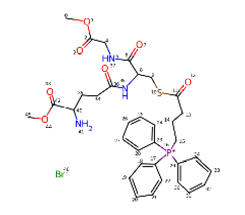 COC(=O)CNC(=O)C(CSC(=O)CCC[P+](c1ccccc1)(c1ccccc1)c1ccccc1)NC(=O)CCC(N)C(=O)OC.[Br-]